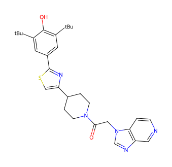 CC(C)(C)c1cc(-c2nc(C3CCN(C(=O)Cn4cnc5cnccc54)CC3)cs2)cc(C(C)(C)C)c1O